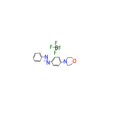 F[B-](F)(F)F.c1ccc(/N=N/c2ccc(N3CCOCC3)cc2)cc1